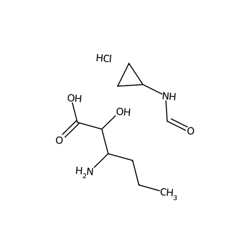 CCCC(N)C(O)C(=O)O.Cl.O=CNC1CC1